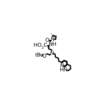 C[C@@H]1CCN1C(=O)N[C@@H](CCN(CCCCc1ccc2c(n1)NCCC2)CCOC(C)(C)C)C(=O)O